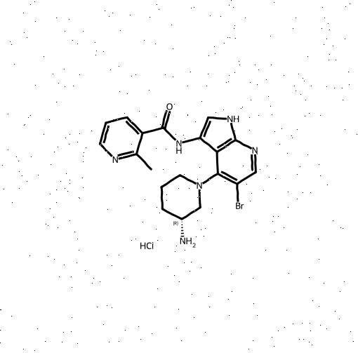 Cc1ncccc1C(=O)Nc1c[nH]c2ncc(Br)c(N3CCC[C@@H](N)C3)c12.Cl